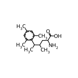 Cc1cc(C)c(C(C)C(C)CC(N)C(=O)O)c(C)c1